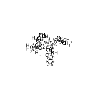 Cc1cc(CC2CN(C(=O)OC(C)(C)C)CC2OCCNC(Cl)Cc2ccccc2)nc(N(C(=O)OC(C)(C)C)C(=O)OC(C)(C)C)c1